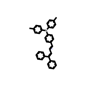 Cc1ccc(N(c2ccc(C)cc2)c2ccc(/C=C/C=C(c3ccccc3)c3ccccc3)cc2)cc1